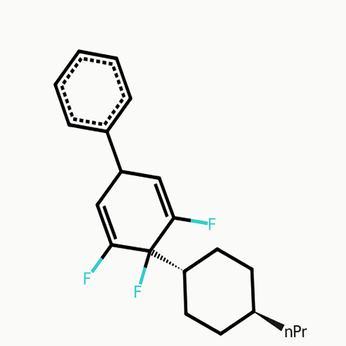 CCC[C@H]1CC[C@H](C2(F)C(F)=CC(c3ccccc3)C=C2F)CC1